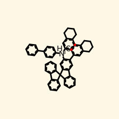 Cc1cc2c(cc1-c1cc3c(cc1N(c1ccc(-c4ccccc4)cc1)c1ccc4c(c1)CCCC4)C1(c4ccccc4-c4ccccc41)c1ccccc1-3)CCCC2